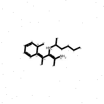 CCCCC(C)NC(=C(/C)N)/C(C)=C1/C=CC=CC1C